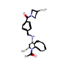 CCC(=O)N1c2ccccc2[C@H](NCc2ccc(C(=O)N3CC(C(=O)O)C3)cc2)C[C@@H]1C